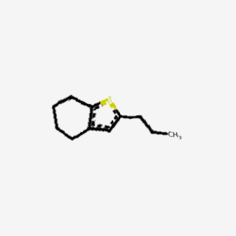 CCCc1cc2c(s1)CCCC2